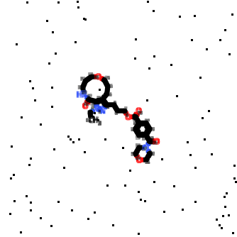 CCn1nc(CCCOC(=O)c2ccc(C(=O)N3CCOCC3)cc2)c2c1C(=O)NCCCOCCC2